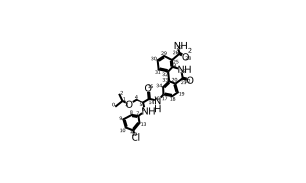 CC(C)OC[C@H](Nc1cccc(Cl)c1)C(=O)Nc1ccc2c(=O)[nH]c3c(C(N)=O)cccc3c2c1